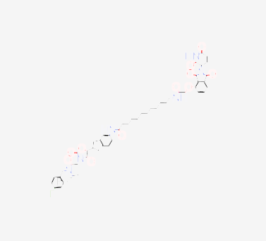 C[C@H](N(Cc1ccc(F)cc1)C(=O)CN1C(=O)OC(C2Cc3ccc(NC(=O)CCCCCCCCCCCNC(=O)COc4cccc5c4C(=O)N(C4CCC(=O)NC4=O)C5=O)cc3C2)C1=O)C(F)(F)F